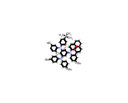 Cc1ccc(C(C)(C)C)cc1N1c2ccc([Si](C)(C)C)cc2B2c3cc4c(cc3N(c3ccc(C(C)(C)C)cc3-c3ccccc3)c3cc(N(c5ccc(C(C)(C)C)cc5)c5ccc(C(C)(C)C)cc5)cc1c32)CCCC4